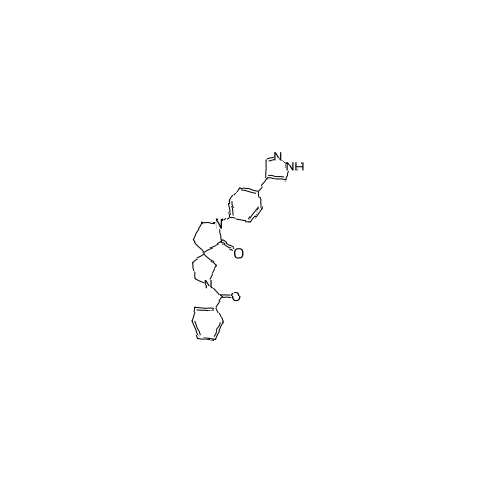 O=C(c1ccccc1)N1CCC2(CCN(c3ccc(-c4cn[nH]c4)cc3)C2=O)C1